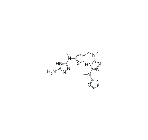 CN(Cc1csc(N(C)c2nnc(N)[nH]2)c1)c1nnc(N(C)c2ccco2)[nH]1